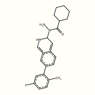 Cc1ccc(F)cc1-c1ccc2c(c1)=CNC(N(N)C(=O)C1CCCCC1)C=2